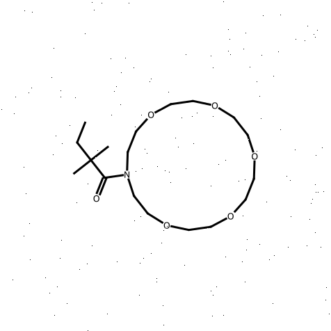 CCC(C)(C)C(=O)N1CCOCCOCCOCCOCCOCC1